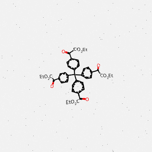 CCOC(=O)C(=O)c1ccc(C(c2ccc(C(=O)C(=O)OCC)cc2)(c2ccc(C(=O)C(=O)OCC)cc2)c2ccc(C(=O)C(=O)OCC)cc2)cc1